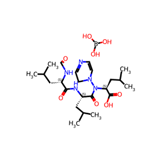 CC(C)C[C@H](NC=O)C(=O)N[C@@H](CC(C)C)C(=O)N([C@@H](CC(C)C)C(=O)O)N1C=CN=CC1.OB(O)O